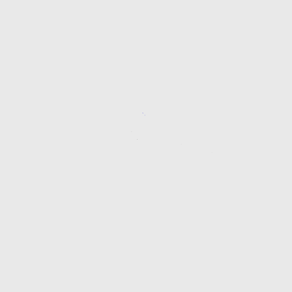 CC=Cc1ccc2c(c1)c1cc(C)ccc1n2CC